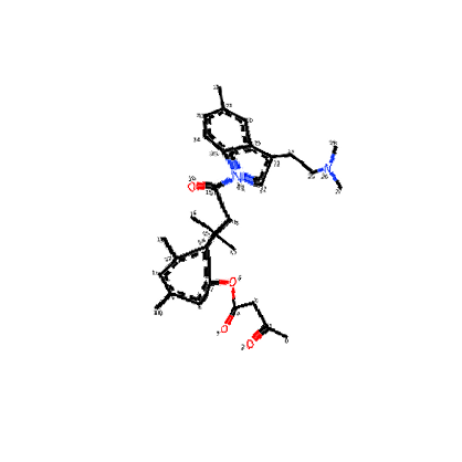 CC(=O)CC(=O)Oc1cc(C)cc(C)c1C(C)(C)CC(=O)n1cc(CCN(C)C)c2cc(C)ccc21